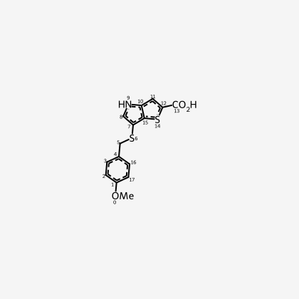 COc1ccc(CSc2c[nH]c3cc(C(=O)O)sc23)cc1